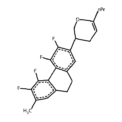 CCCC1=CCC(c2cc3c(c(F)c2F)-c2c(cc(C)c(F)c2F)CC3)CO1